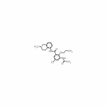 CCCOc1c(NC(C)=O)cc(Cl)cc1C(=O)Nc1cccc2c1CCN(C)C2